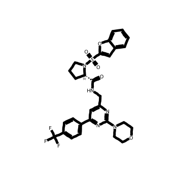 O=C(NCc1cc(-c2ccc(C(F)(F)F)cc2)nc(N2CCOCC2)n1)[C@@H]1CCCN1S(=O)(=O)c1cc2ccccc2o1